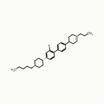 CCCCC[C@H]1CC[C@H](c2ccc(-c3ccc(C4CC[SiH](CCC)CC4)cc3)c(F)c2)CC1